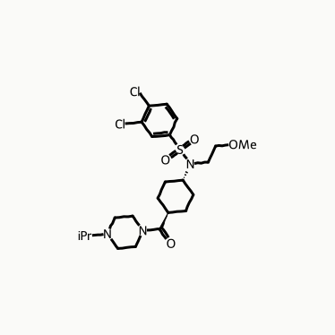 COCCN([C@H]1CC[C@H](C(=O)N2CCN(C(C)C)CC2)CC1)S(=O)(=O)c1ccc(Cl)c(Cl)c1